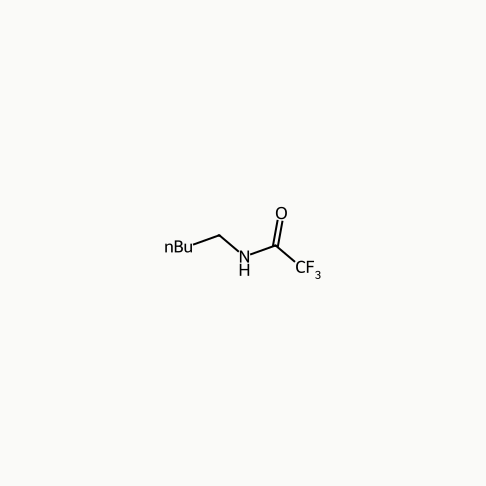 [CH2]CCCCNC(=O)C(F)(F)F